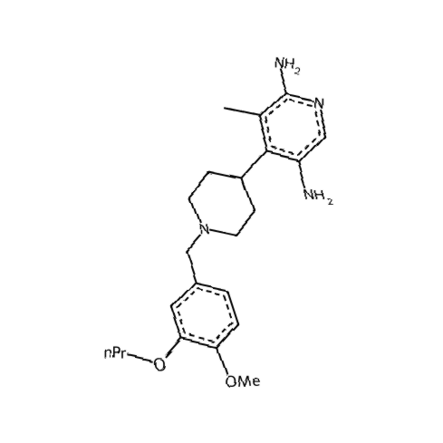 CCCOc1cc(CN2CCC(c3c(N)cnc(N)c3C)CC2)ccc1OC